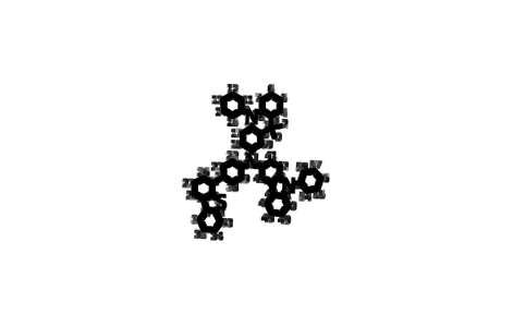 CC1(C)c2ccccc2N(c2ccccc2)c2ccc(N(c3ccc(-c4cccc5c4sc4ccccc45)cc3)c3ccc4c(c3)c3ccccc3n4-c3ccccc3)cc21